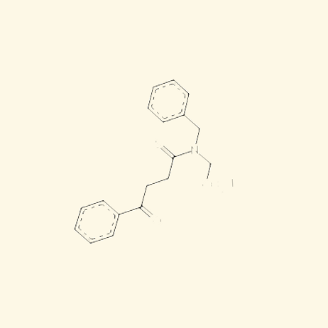 O=C(O)CN(Cc1ccccc1)C(=S)CCC(=O)c1ccccc1